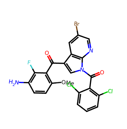 COc1ccc(N)c(F)c1C(=O)c1cn(C(=O)c2c(Cl)cccc2Cl)c2ncc(Br)cc12